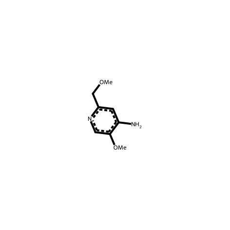 COCc1cc(N)c(OC)cn1